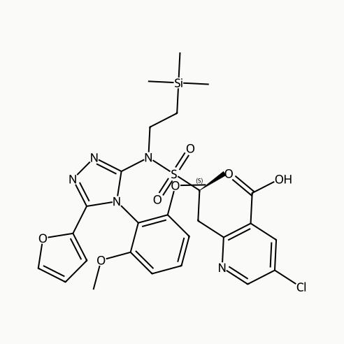 COc1cccc(OC)c1-n1c(-c2ccco2)nnc1N(CC[Si](C)(C)C)S(=O)(=O)[C@@H](C)Cc1ncc(Cl)cc1C(=O)O